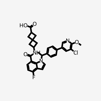 COc1ncc(-c2ccc(C(C)n3ccc4c(F)ccc(C(=O)NC5CC6(C5)CC(C(=O)O)C6)c43)cc2)cc1Cl